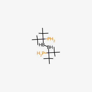 CC(C)(C)C(P)(BBC(P)(C(C)(C)C)C(C)(C)C)C(C)(C)C